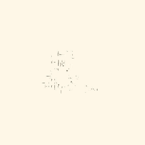 CCCCC(C)(C)CN(C)C1CC(C)OC(O[C@@H]2[C@@H](C)[C@H](OC3CC(C)(OC)C(O)C(C)O3)[C@@H](C)C(=O)O[C@@H]3C(C)[C@]3(O)[C@H](O)[C@@H](C)C(=O)[C@H](C)CC2(C)O)C1O